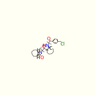 CCC(C)(C(=O)[C@@H]1CCCCCC[C@@H]1NC(C)(C)C(=O)c1ccc(CCl)cc1)N1C(=O)[C@@H]2CCCCCC[C@@H]21